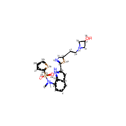 CN(c1cccc2cc(C3=NCC(CCN4CC(O)C4)S3)[nH]c12)S(=O)(=O)c1cccs1